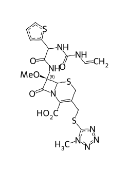 C=CNC(=O)NC(C(=O)N[C@@]1(OC)C(=O)N2C(C(=O)O)=C(CSc3nnnn3C)CSC21)c1cccs1